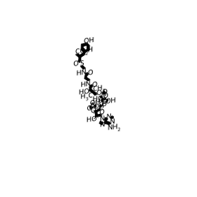 CC(C)(COP(=O)(O)OP(=O)(O)OC[C@H]1O[C@@H](n2cnc3c(N)ncnc32)[C@H](O)[C@@H]1OP(=O)(O)O)[C@@H](O)C(=O)NCCC(=O)NCCSC(=O)C(=Cc1ccc(O)cc1)CC(=O)O